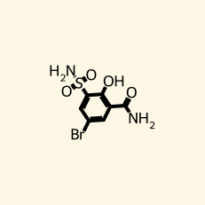 NC(=O)c1cc(Br)cc(S(N)(=O)=O)c1O